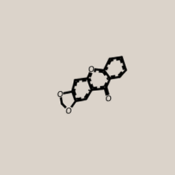 O=c1c2ccccc2oc2cc3c(cc12)OCO3